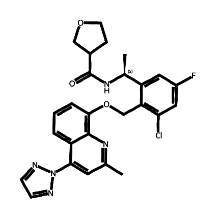 Cc1cc(-n2nccn2)c2cccc(OCc3c(Cl)cc(F)cc3[C@H](C)NC(=O)C3CCOC3)c2n1